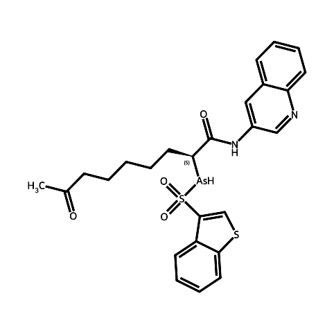 CC(=O)CCCCC[C@H]([AsH]S(=O)(=O)c1csc2ccccc12)C(=O)Nc1cnc2ccccc2c1